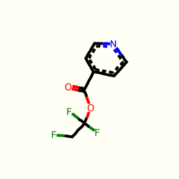 O=C(OC(F)(F)CF)c1ccncc1